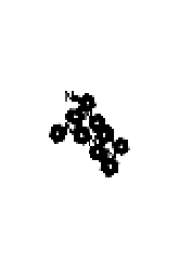 N#Cc1cccc2c1c1ccc3c(c4cc(-n5c6ccccc6c6c5ccc5c7ccccc7n(-c7ccccc7)c56)ccc4n3-c3ccccc3)c1n2-c1ccccc1